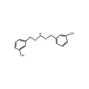 Oc1cccc(COBOCc2cccc(O)c2)c1